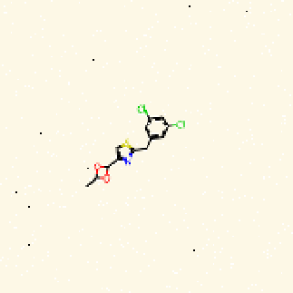 CC1OC(c2csc(Cc3cc(Cl)cc(Cl)c3)n2)O1